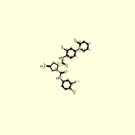 C=C1C[C@H](C(=O)Nc2ccc(Cl)c(F)c2)[C@@H](C(=O)Nc2ccc(-n3ccccc3=O)cc2F)C1